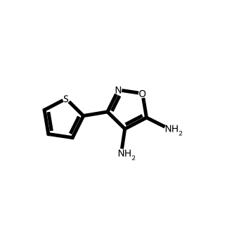 Nc1onc(-c2cccs2)c1N